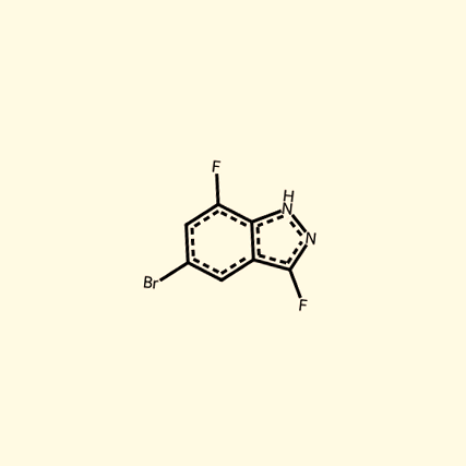 Fc1n[nH]c2c(F)cc(Br)cc12